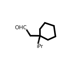 CC(C)C1(CC=O)CCCCC1